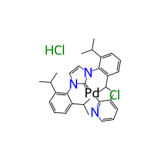 CC(C)c1cccc(C(C)C)c1-n1ccn(-c2c(C(C)C)cccc2C(C)C)[c]1=[Pd][c]1ncccc1Cl.Cl